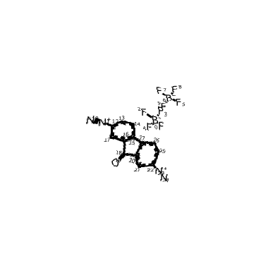 F[B-](F)(F)F.F[B-](F)(F)F.N#[N+]c1ccc2c(c1)C(=O)c1cc([N+]#N)ccc1-2